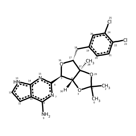 CC1(C)O[C@@H]2[C@@H](c3nc(N)c4cc[nH]c4n3)O[C@H](Cc3ccc(Cl)c(Cl)c3)[C@@]2(C)O1